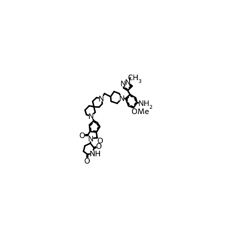 COc1cc(N2CCC(CN3CCC4(CCCN(c5ccc6c(c5)C(=O)N(C5CCC(=O)NC5=O)C6=O)C4)CC3)CC2)c(-c2cnn(C)c2)cc1N